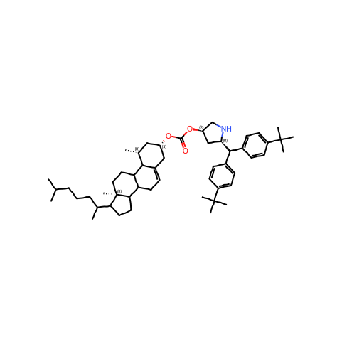 CC(C)CCCC(C)C1CCC2C3CC=C4C[C@@H](OC(=O)O[C@H]5CN[C@@H](C(c6ccc(C(C)(C)C)cc6)c6ccc(C(C)(C)C)cc6)C5)C[C@@H](C)C4C3CC[C@]12C